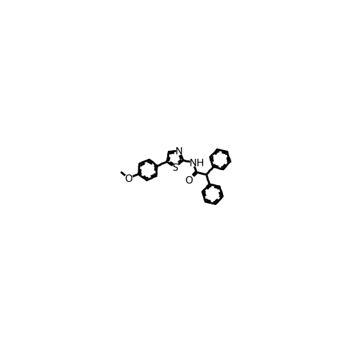 COc1ccc(-c2cnc(NC(=O)C(c3ccccc3)c3ccccc3)s2)cc1